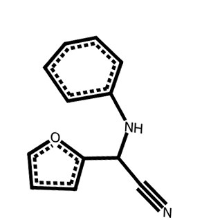 N#CC(Nc1ccccc1)c1ccco1